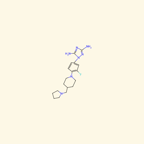 Nc1nc(N)n(-c2ccc(N3CCC(CN4CCCC4)CC3)c(F)c2)n1